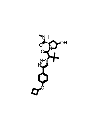 CNC(=O)[C@H]1CC(O)CN1C(=O)C(n1cc(-c2ccc(OC3CCC3)cc2)nn1)C(C)(C)C